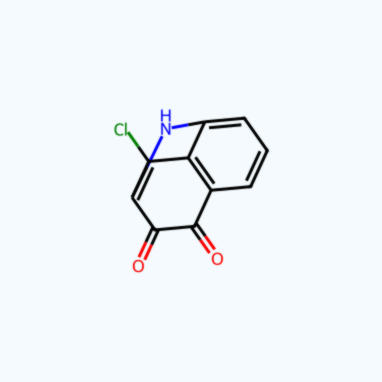 O=C1C(=O)c2cccc3[nH]c1c(Cl)c23